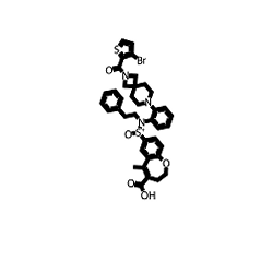 CC1=C(C(=O)O)CCOc2ccc([S+]([O-])N(CCc3ccccc3)c3ccccc3N3CCC4(CC3)CN(C(=O)c3sccc3Br)C4)cc21